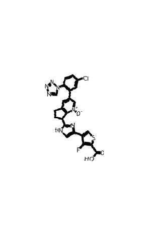 O=C(O)c1scc(-c2c[nH]c(C3CCc4cc(-c5cc(Cl)ccc5-n5cnnn5)c[n+]([O-])c43)n2)c1F